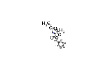 CCOC(=O)/C=C(\C(C)=O)C(=O)OCc1ccccc1